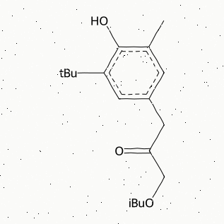 Cc1cc(CC(=O)COCC(C)C)cc(C(C)(C)C)c1O